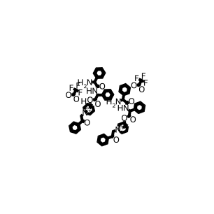 NC(C(=O)NC(C(=O)OC1C[N+]2(CC(=O)c3ccccc3)CCC1CC2)c1ccccc1)c1ccccc1.NC(C(=O)NC(C(=O)O[C@H]1C[N+]2(CC(=O)c3ccccc3)CCC1CC2)c1ccccc1)c1ccccc1.O=C([O-])C(F)(F)F.O=C([O-])C(F)(F)F